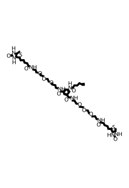 C#CCCCC(=O)Nc1cc(C(=O)NCCCOCCOCCOCCCNC(=O)CCCCC2SCC3NC(=O)NC32)cc(C(=O)NCCCOCCOCCOCCCNC(=O)CCCCC2SCC3NC(=O)NC32)c1